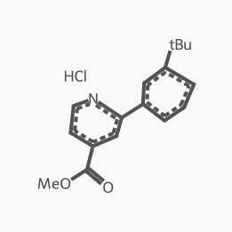 COC(=O)c1ccnc(-c2cccc(C(C)(C)C)c2)c1.Cl